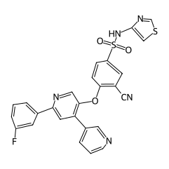 N#Cc1cc(S(=O)(=O)Nc2cscn2)ccc1Oc1cnc(-c2cccc(F)c2)cc1-c1cccnc1